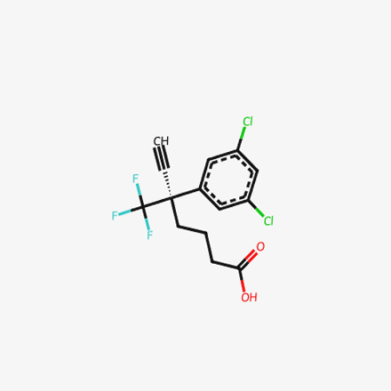 C#C[C@@](CCCC(=O)O)(c1cc(Cl)cc(Cl)c1)C(F)(F)F